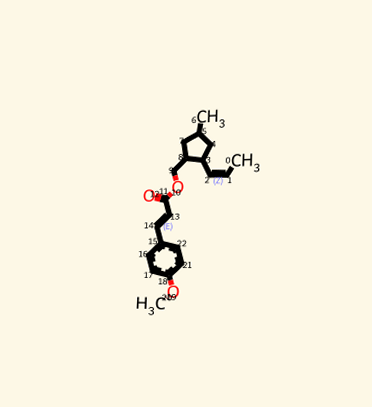 C/C=C\C1CC(C)CC1COC(=O)/C=C/c1ccc(OC)cc1